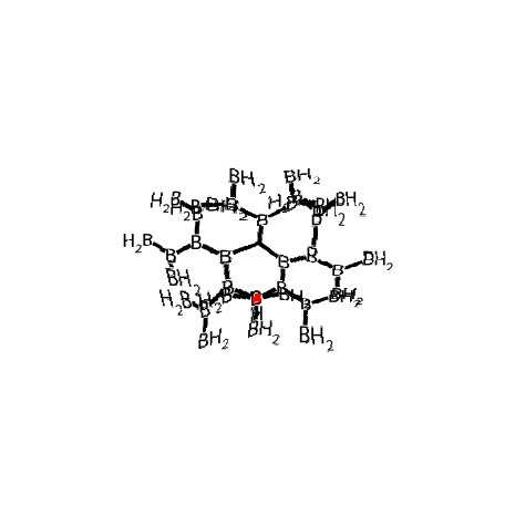 BBB(B(B)B)B(B(B(B)B)B(B)B)C(B(B(B)B)B(B)B)B(B(B(B)B)B(B)B)B(B(B)B)B(B)B